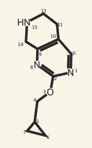 c1nc(OCC2CC2)nc2c1CCNC2